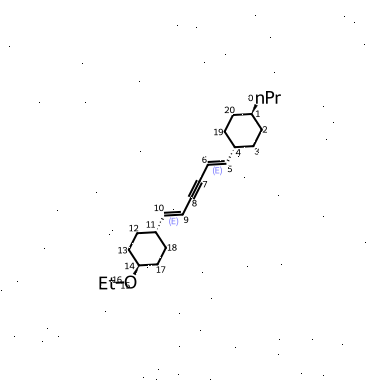 CCC[C@H]1CC[C@H](/C=C/C#C/C=C/[C@H]2CC[C@H](OCC)CC2)CC1